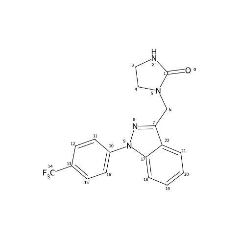 O=C1NCCN1Cc1nn(-c2ccc(C(F)(F)F)cc2)c2ccccc12